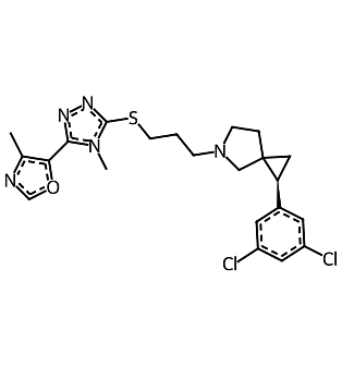 Cc1ncoc1-c1nnc(SCCCN2CCC3(C[C@H]3c3cc(Cl)cc(Cl)c3)C2)n1C